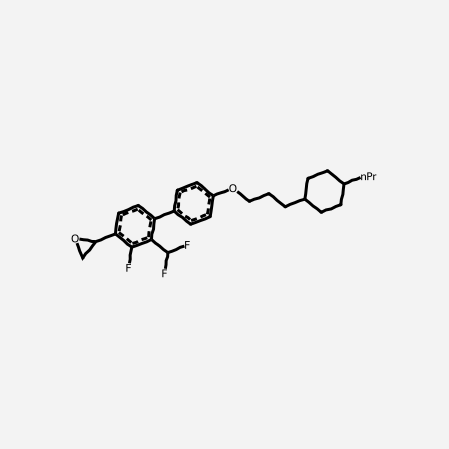 CCCC1CCC(CCCOc2ccc(-c3ccc(C4CO4)c(F)c3C(F)F)cc2)CC1